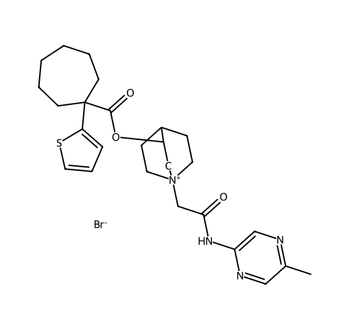 Cc1cnc(NC(=O)C[N+]23CCC(CC2)C(OC(=O)C2(c4cccs4)CCCCCC2)C3)cn1.[Br-]